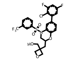 O=S(=O)(c1cccc(C(F)(F)F)c1)N1CC(CC2(CO)COC2)Oc2ccc(-c3cc(F)cc(F)c3Cl)cc21